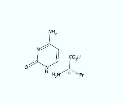 CC(C)[C@H](N)C(=O)O.Nc1cc[nH]c(=O)n1